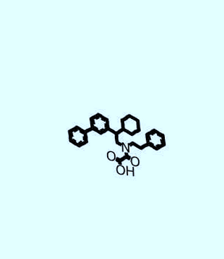 O=C(O)C(=O)N(CCc1ccccc1)CC(c1cccc(-c2ccccc2)c1)C1CCCCC1